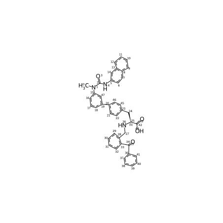 CN(C(=O)Nc1ccc2ccccc2c1)c1cccc(-c2ccc(C[C@H](NCc3ccccc3C(=O)c3ccccc3)C(=O)O)cc2)c1